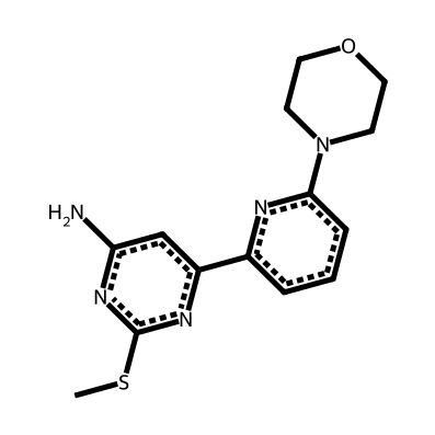 CSc1nc(N)cc(-c2cccc(N3CCOCC3)n2)n1